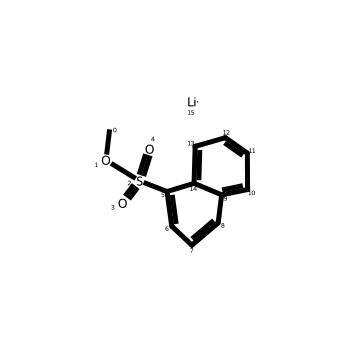 COS(=O)(=O)c1cccc2ccccc12.[Li]